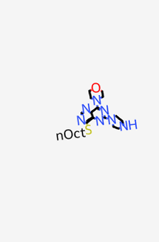 CCCCCCCCSc1ncnc2c(N3CCOCC3)nc(N3CCNCC3)nc12